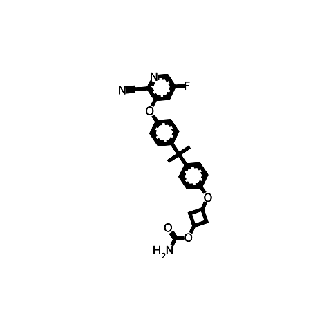 CC(C)(c1ccc(Oc2cc(F)cnc2C#N)cc1)c1ccc(OC2CC(OC(N)=O)C2)cc1